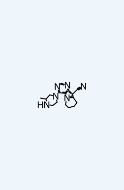 CC1CN(c2ncnc3c(C#N)c4n(c23)CCCC4)CCN1